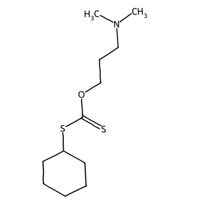 CN(C)CCCOC(=S)SC1CCCCC1